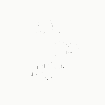 Cc1cccc(CC(=O)N2CCCN2c2nc3c(=O)[nH]c(C(C)(C)F)nc3s2)c1